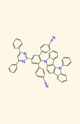 N#Cc1ccc(-c2cc(-c3nc(-c4ccccc4)cc(-c4ccccc4)n3)cc(-c3ccc(C#N)cc3)c2-n2c3ccccc3c3c2ccc2c4ccccc4n(-c4ccccc4)c23)cc1